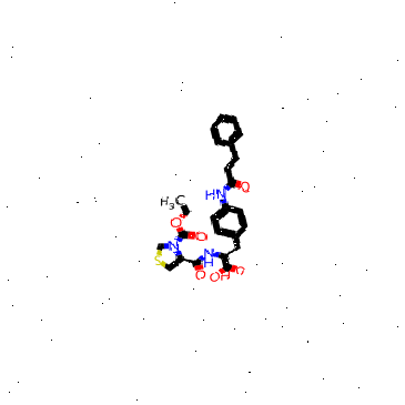 CCOC(=O)N1CSC[C@@H]1C(=O)N[C@@H](Cc1ccc(NC(=O)CCc2ccccc2)cc1)C(=O)O